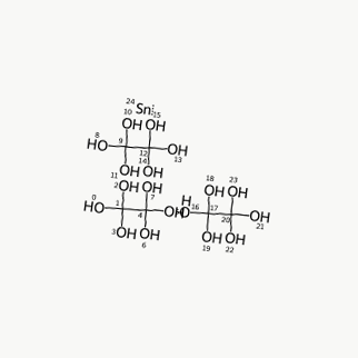 OC(O)(O)C(O)(O)O.OC(O)(O)C(O)(O)O.OC(O)(O)C(O)(O)O.[Sn]